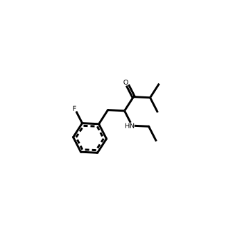 CCNC(Cc1ccccc1F)C(=O)C(C)C